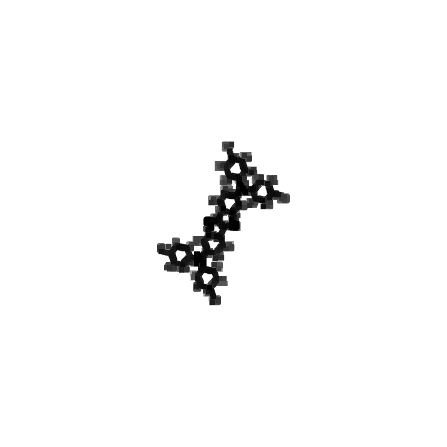 Cc1ccc(N(c2ccc(C)cc2)c2ccc3c(c2)sc2c4ccc(N(c5ccc(C)cc5)c5ccc(C)cc5)cc4sc32)cc1